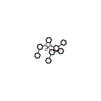 O=P1(c2cc(-c3ccccc3)cc(-c3ccccc3)c2)N(c2cccc(-c3ccccc3)c2)c2ccccc2N1c1cccc(-c2ccccc2)c1